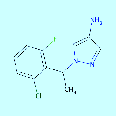 CC(c1c(F)cccc1Cl)n1cc(N)cn1